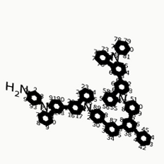 Nc1ccc(-n2c3ccccc3c3cc(-c4ccc5c(c4)c4ccccc4n5-c4ccc(-c5cccc(-c6cc(-c7ccccc7)cc(-c7cccc(-n8c9ccccc9c9cc(-c%10ccc%11c(c%10)c%10ccccc%10n%11-c%10ccccc%10)ccc98)c7)c6)c5)cc4)ccc32)cc1